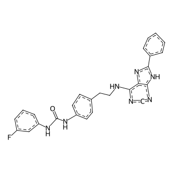 O=C(Nc1ccc(CCNc2ncnc3[nH]c(-c4ccccc4)nc23)cc1)Nc1cccc(F)c1